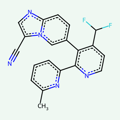 Cc1cccc(-c2nccc(C(F)F)c2-c2ccc3ncc(C#N)n3c2)n1